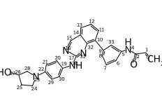 C=CC(=O)Nc1cccc(-c2cccc3cnc(Nc4ccc(N5CCC(O)C5)cc4)nc23)c1